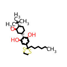 CCCCCCC1(c2cc(O)c([C@H]3CC[C@H](C(C)(C)C)C(=O)C3)c(O)c2)SCCS1